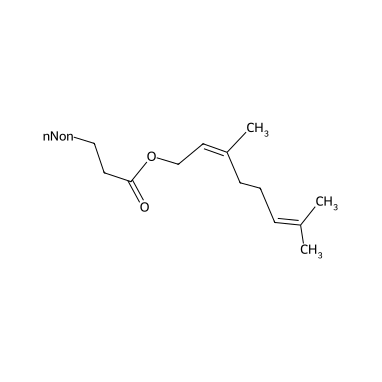 CCCCCCCCCCCC(=O)OCC=C(C)CCC=C(C)C